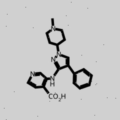 CN1CCC(n2cc(-c3ccccc3)c(Nc3cnccc3C(=O)O)n2)CC1